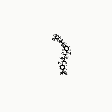 O=C(NNC(=S)Nc1ccc([N+](=O)[O-])cc1)Nc1ccc2nc(C3=N[C@@H](C(=O)O)CS3)sc2c1